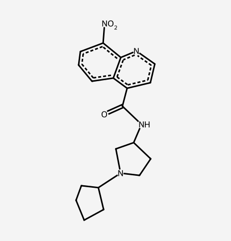 O=C(NC1CCN(C2CCCC2)C1)c1ccnc2c([N+](=O)[O-])cccc12